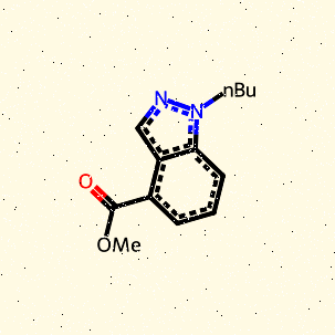 CCCCn1ncc2c(C(=O)OC)cccc21